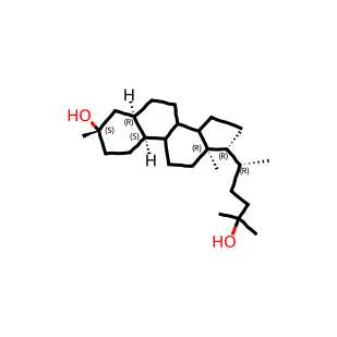 C[C@H](CCC(C)(C)O)[C@H]1CCC2C3CC[C@@H]4C[C@@](C)(O)CC[C@@H]4C3CC[C@@]21C